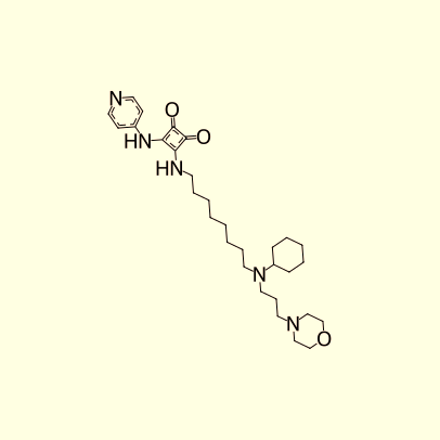 O=c1c(NCCCCCCCCN(CCCN2CCOCC2)C2CCCCC2)c(Nc2ccncc2)c1=O